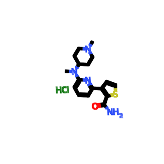 CN1CCC(N(C)c2cccc(-c3ccsc3C(N)=O)n2)CC1.Cl